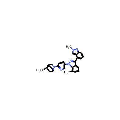 Cc1cccc2c(-c3cccc4nn(C)cc34)nn(-c3ccc(N4CC5CCC4CC5C(=O)O)nc3)c12